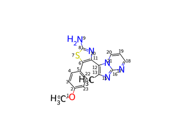 COc1ccc(-c2sc(N)nc2-c2c(C)nc3ncccn23)cc1